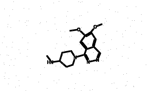 CNC1CCN(c2nncc3cc(OC)c(OC)cc23)CC1